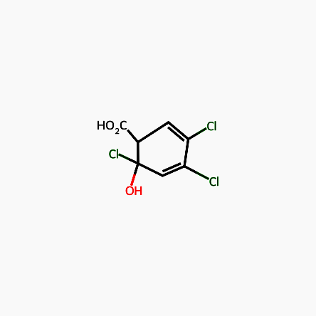 O=C(O)C1C=C(Cl)C(Cl)=CC1(O)Cl